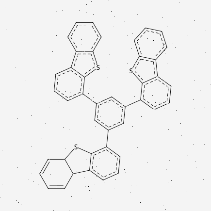 C1=CC2Sc3c(-c4cc(-c5cccc6c5sc5ccccc56)cc(-c5cccc6c5sc5ccccc56)c4)cccc3C2C=C1